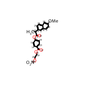 COc1ccc2cc([C@H](C)C(=O)Oc3ccc(C(=O)OCCO[N+](=O)[O-])cc3)ccc2c1